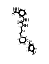 NC(=O)c1cccc(NC(=O)NCCCN2CCC[C@@H](Cc3ccc(F)cc3)C2)c1